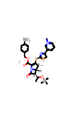 CC(O[Si](C)(C)C)[C@H]1C(=O)N2C(C(=O)OCc3ccc([N+](=O)[O-])cc3)=C(Sc3nc(-c4ccc[n+](C)c4)cs3)[C@H](C)[C@H]12.[I-]